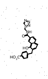 O=C(O)c1ccc(Cc2ccc3ccc(C(=O)NCn4cnnn4)cc3c2O)cc1